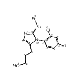 CCSc1nnc(CCCO)n1-c1ccc(Cl)cc1Cl